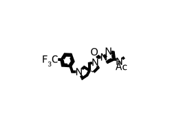 CC(=O)N(C)c1cnn(C(=O)N2CC[C@@]3(CCN(Cc4cccc(C(F)(F)F)c4)C3)C2)c1